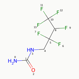 NC(=O)NCC(F)(F)C(F)C(F)(F)F